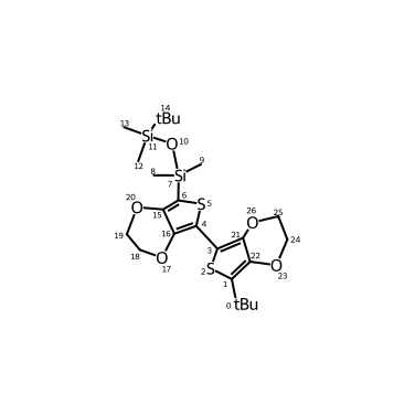 CC(C)(C)c1sc(-c2sc([Si](C)(C)O[Si](C)(C)C(C)(C)C)c3c2OCCO3)c2c1OCCO2